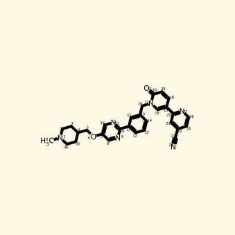 CN1CCC(COc2cnc(-c3cccc(Cn4cc(-c5cc(C#N)ccn5)ccc4=O)c3)nc2)CC1